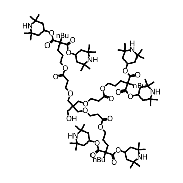 CCCCC(CCCOC(=O)CCOCC(CO)(COCCC(=O)OCCCC(CCCC)(C(=O)OC1CC(C)(C)NC(C)(C)C1)C(=O)OC1CC(C)(C)NC(C)(C)C1)COCCC(=O)OCCCC(CCCC)(C(=O)OC1CC(C)(C)NC(C)(C)C1)C(=O)OC1CC(C)(C)NC(C)(C)C1)(C(=O)OC1CC(C)(C)NC(C)(C)C1)C(=O)OC1CC(C)(C)NC(C)(C)C1